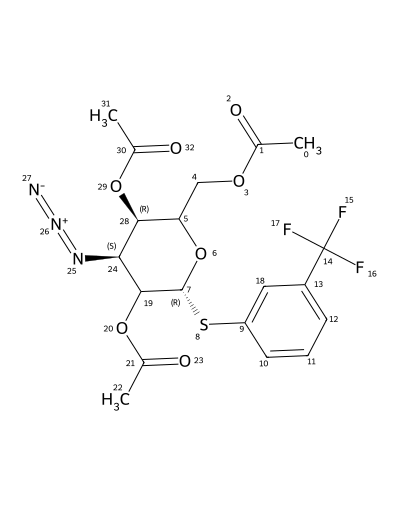 CC(=O)OCC1O[C@H](Sc2cccc(C(F)(F)F)c2)C(OC(C)=O)[C@@H](N=[N+]=[N-])[C@H]1OC(C)=O